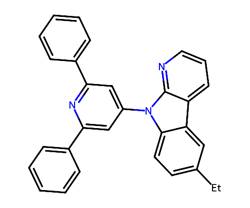 CCc1ccc2c(c1)c1cccnc1n2-c1cc(-c2ccccc2)nc(-c2ccccc2)c1